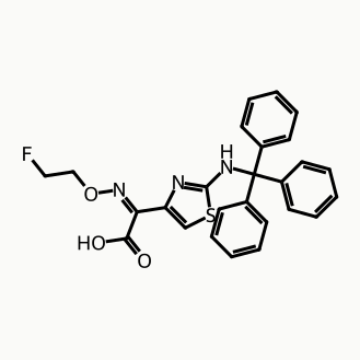 O=C(O)C(=NOCCF)c1csc(NC(c2ccccc2)(c2ccccc2)c2ccccc2)n1